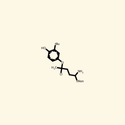 CCCCCCCCCC(N)CCC(C)(Cl)Oc1ccc(O)c(C(C)(C)C)c1